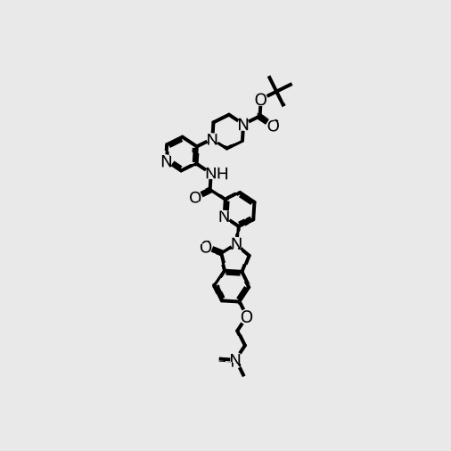 CN(C)CCOc1ccc2c(c1)CN(c1cccc(C(=O)Nc3cnccc3N3CCN(C(=O)OC(C)(C)C)CC3)n1)C2=O